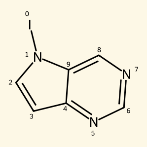 In1ccc2ncncc21